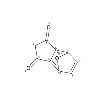 O=C1CC(=O)c2c1c1ccc2o1